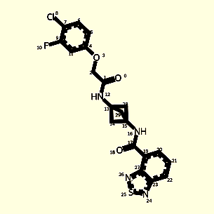 O=C(COc1ccc(Cl)c(F)c1)NC12CC(NC(=O)c3cccc4nsnc34)(C1)C2